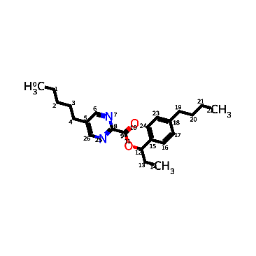 CCCCCc1cnc(C(=O)OC(CC)c2ccc(CCCC)cc2)nc1